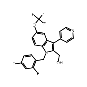 OCc1c(-c2ccncc2)c2cc(OC(F)(F)F)ccc2n1Cc1ccc(F)cc1F